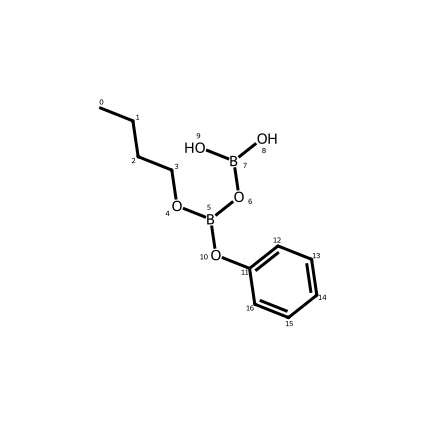 CCCCOB(OB(O)O)Oc1ccccc1